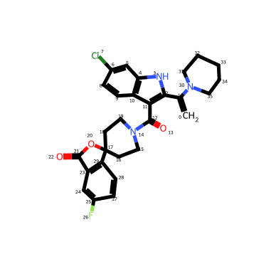 C=C(c1[nH]c2cc(Cl)ccc2c1C(=O)N1CCC2(CC1)OC(=O)c1cc(F)ccc12)N1CCCCC1